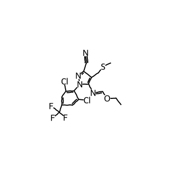 CCO/C=N/c1c(CSC)c(C#N)nn1-c1c(Cl)cc(C(F)(F)F)cc1Cl